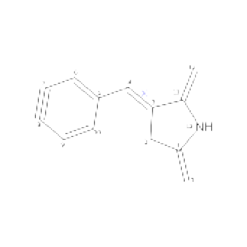 C=C1C/C(=C\c2cc#ccc2)C(=C)N1